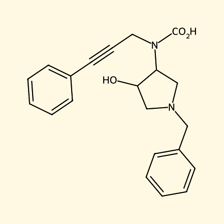 O=C(O)N(CC#Cc1ccccc1)C1CN(Cc2ccccc2)CC1O